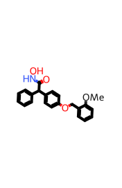 COc1ccccc1COc1ccc(C(C(=O)NO)c2ccccc2)cc1